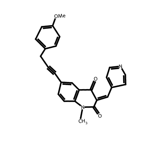 COc1ccc(CC#Cc2ccc3c(c2)C(=O)/C(=C\c2ccncc2)C(=O)N3C)cc1